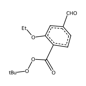 CCOc1cc(C=O)ccc1C(=O)OOC(C)(C)C